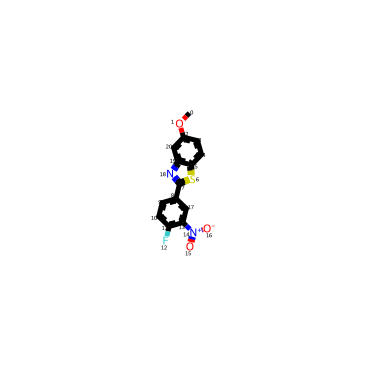 COc1ccc2sc(-c3ccc(F)c([N+](=O)[O-])c3)nc2c1